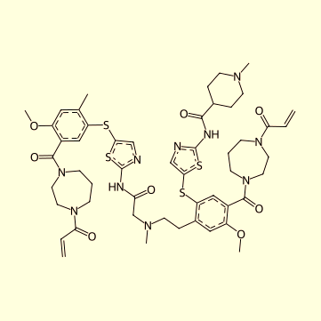 C=CC(=O)N1CCCN(C(=O)c2cc(Sc3cnc(NC(=O)CN(C)CCc4cc(OC)c(C(=O)N5CCCN(C(=O)C=C)CC5)cc4Sc4cnc(NC(=O)C5CCN(C)CC5)s4)s3)c(C)cc2OC)CC1